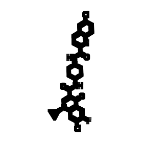 O=C(NN1CCC(NC(=O)c2cn(C3CC3)c3cc(Cl)c(F)cc3c2=O)CC1)c1ccc2cc(Cl)ccc2n1